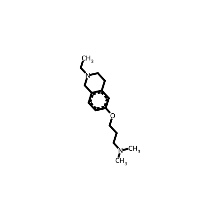 CCN1CCc2cc(OCCCN(C)C)ccc2C1